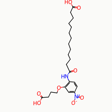 O=C(O)CCCCCCCCCCCC(=O)Nc1ccc([N+](=O)[O-])cc1OCCCC(=O)O